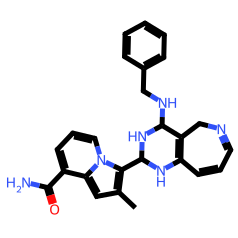 Cc1cc2c(C(N)=O)cccn2c1C1NC2=C(CN=CC=C2)C(NCc2ccccc2)N1